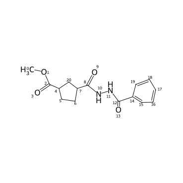 COC(=O)C1CCC(C(=O)NNC(=O)c2ccccc2)C1